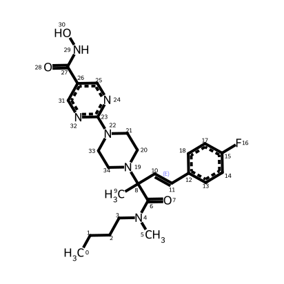 CCCCN(C)C(=O)C(C)(/C=C/c1ccc(F)cc1)N1CCN(c2ncc(C(=O)NO)cn2)CC1